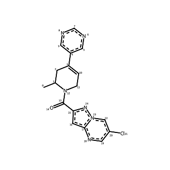 CC1CC(c2cncnc2)=CCN1C(=O)c1cc2ncc(Cl)cn2n1